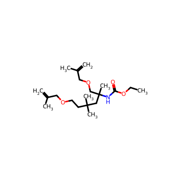 C=C(C)COCCC(C)(C)CC(C)(COCC(=C)C)NC(=O)OCC